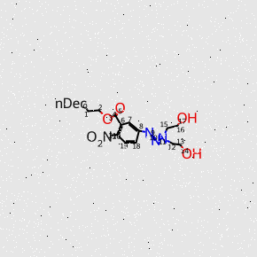 CCCCCCCCCCCCOC(=O)c1cc(N=NN(CCO)CCO)ccc1[N+](=O)[O-]